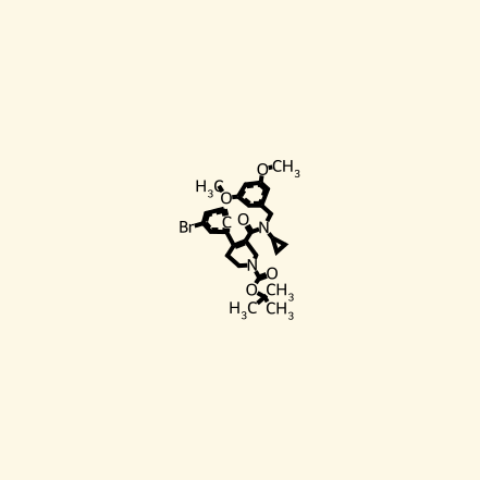 COc1cc(CN(C(=O)C2=C(c3cccc(Br)c3)CCN(C(=O)OC(C)(C)C)C2)C2CC2)cc(OC)c1